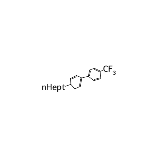 CCCCCCCC1C=CC(c2ccc(C(F)(F)F)cc2)=CC1